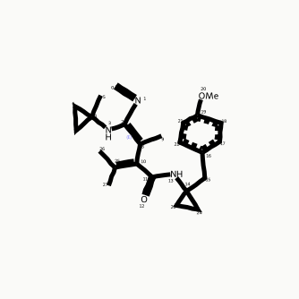 C=N/C(NC1(C)CC1)=C(\C)C(C(=O)NC1(Cc2ccc(OC)cc2)CC1)=C(C)C